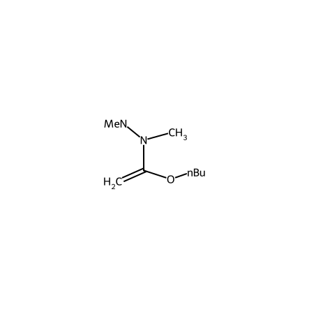 C=C(OCCCC)N(C)NC